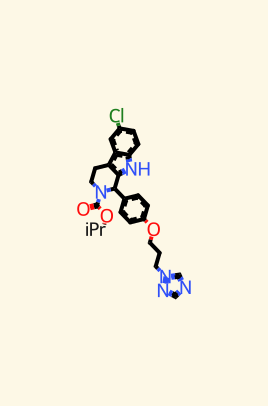 CC(C)OC(=O)N1CCc2c([nH]c3ccc(Cl)cc23)C1c1ccc(OCCCn2cncn2)cc1